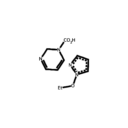 CCOn1cccn1.O=C(O)N1C=CC=NC1